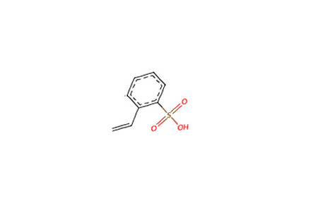 C=Cc1[c]cccc1S(=O)(=O)O